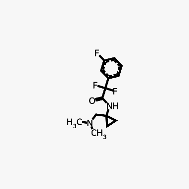 CN(C)CC1(NC(=O)C(F)(F)c2cccc(F)c2)CC1